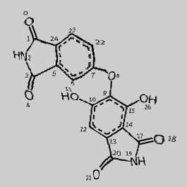 O=C1NC(=O)c2cc(Oc3c(O)cc4c(c3O)C(=O)NC4=O)ccc21